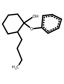 CCCCC1CCCCC1(O)Oc1ccccc1